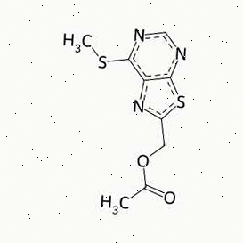 CSc1ncnc2sc(COC(C)=O)nc12